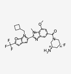 COc1cc(C(=O)N2C[C@H](N)C[C@@H](F)C2)cc2nc(-c3cc4cc(C(F)(F)F)oc4n3CC3CCC3)n(C)c12